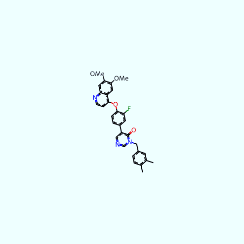 COc1cc2nccc(Oc3ccc(-c4cncn(Cc5ccc(C)c(C)c5)c4=O)cc3F)c2cc1OC